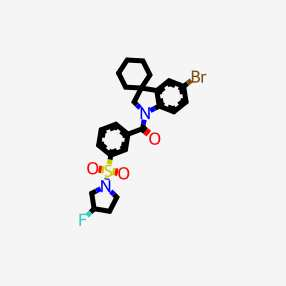 O=C(c1cccc(S(=O)(=O)N2CCC(F)C2)c1)N1CC2(CCCCC2)c2cc(Br)ccc21